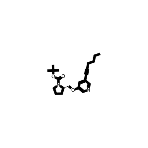 CCCCC#Cc1cncc(OC[C@@H]2CCCN2C(=O)OC(C)(C)C)c1